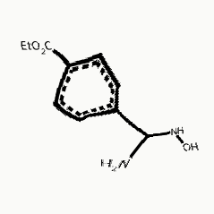 CCOC(=O)c1ccc(C(N)NO)cc1